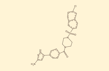 Nc1cc(-c2ccc(C(=O)N3CCN(S(=O)(=O)c4ccc5cc(Cl)ccc5c4)CC3)cc2)[nH]n1